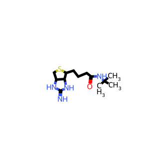 CC(C)(C)NC(=O)CCCC1SCC2NC(=N)NC21